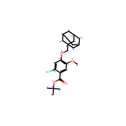 COc1cc(C(=O)OC(C)(C)C)c(F)cc1OCC12CC3CC(CC(C3)C1)C2